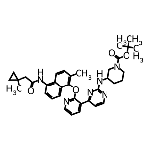 Cc1ccc2c(NC(=O)CC3(C)CC3)cccc2c1Oc1ncccc1-c1ccnc(NC2CCCN(C(=O)OC(C)(C)C)C2)n1